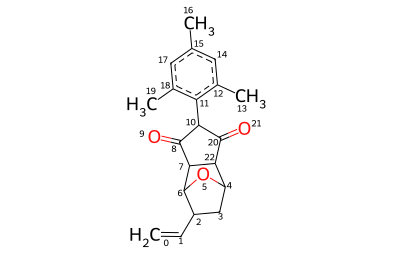 C=CC1CC2OC1C1C(=O)C(c3c(C)cc(C)cc3C)C(=O)C21